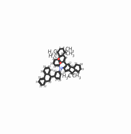 CC1(C)CCC(C)(C)c2cc(-c3cc4c(cc3N(c3ccccc3)c3cccc(-c5cc6ccccc6c6ccccc56)c3)C(C)(C)c3ccccc3-4)ccc21